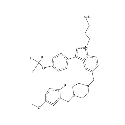 COc1ccc(F)c(CN2CCN(Cc3ccc4c(c3)c(-c3ccc(OC(F)(F)F)cc3)cn4CCCN)CC2)c1